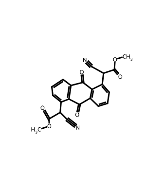 COC(=O)C(C#N)c1cccc2c1C(=O)c1cccc(C(C#N)C(=O)OC)c1C2=O